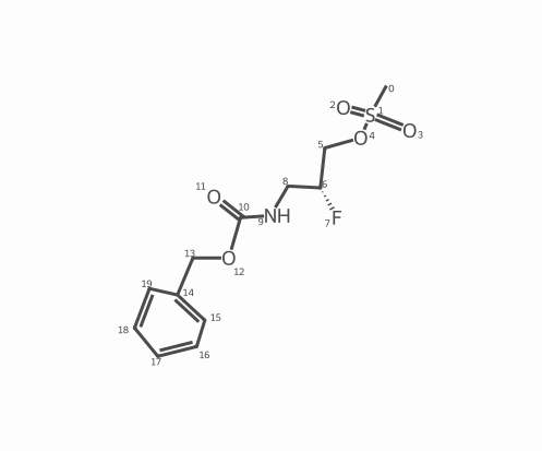 CS(=O)(=O)OC[C@H](F)CNC(=O)OCc1ccccc1